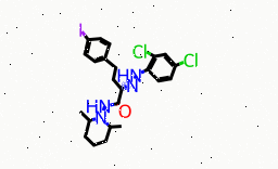 CC1CCCC(C)N1NC(=O)/C(CCc1ccc(I)cc1)=N/Nc1ccc(Cl)cc1Cl